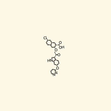 O=C(O)c1cc2cc(Cl)ccc2cc1OCC(=O)c1c[nH]c2cc(Oc3cccnn3)ccc12